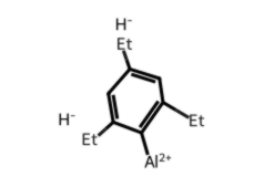 CCc1cc(CC)[c]([Al+2])c(CC)c1.[H-].[H-]